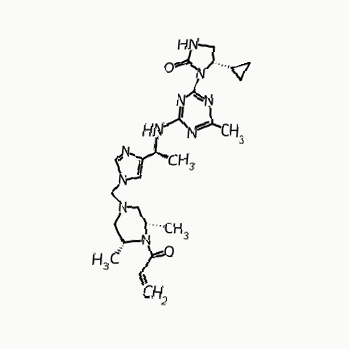 C=CC(=O)N1[C@H](C)CN(Cn2cnc([C@H](C)Nc3nc(C)nc(N4C(=O)NC[C@@H]4C4CC4)n3)c2)C[C@@H]1C